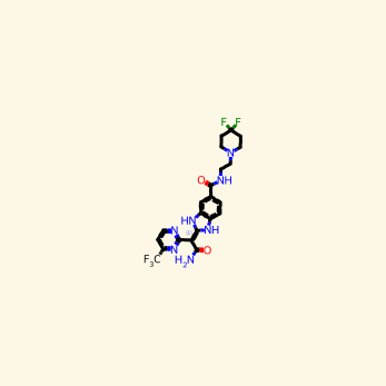 NC(=O)/C(=C1\Nc2ccc(C(=O)NCCN3CCC(F)(F)CC3)cc2N1)c1nccc(C(F)(F)F)n1